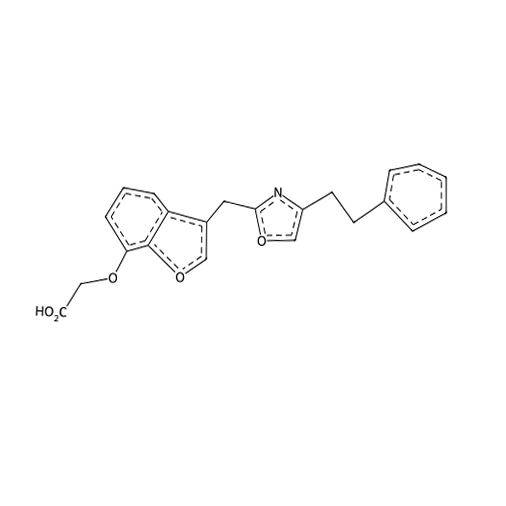 O=C(O)COc1cccc2c(Cc3nc(CCc4ccccc4)co3)coc12